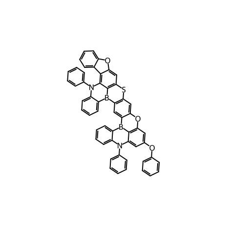 c1ccc(Oc2cc3c4c(c2)N(c2ccccc2)c2ccccc2B4c2cc4c(cc2O3)Sc2cc3oc5ccccc5c3c3c2B4c2ccccc2N3c2ccccc2)cc1